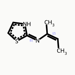 C/C=C(C)\N=c1/[nH]ccs1